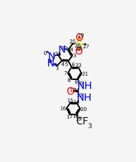 Cn1ncc2c(-c3ccc(NC(=O)Nc4cccc(C(F)(F)F)c4)cc3)cc(CS(C)(=O)=O)nc21